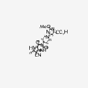 COc1nc(C(=O)O)cc(N2CCC(n3c(=O)[nH]c4c(C#N)c(C)[nH]c4c3=O)CC2)n1